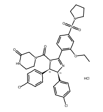 CCOc1cc(S(=O)(=O)N2CCCC2)ccc1C1=N[C@@H](c2ccc(Cl)cc2)[C@@H](c2ccc(Cl)cc2)N1C(=O)N1CCNC(=O)C1.Cl